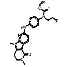 CN1CCc2c(c3ccc(Nc4ccc(N(CCF)C(=O)OC(C)(C)C)cn4)nc3n2C)C1=O